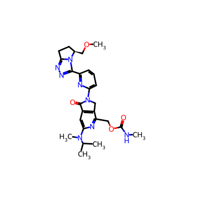 CNC(=O)OCc1nc(N(C)C(C)C)cc2c1CN(c1cccc(-c3nnc4n3[C@H](COC)CC4)n1)C2=O